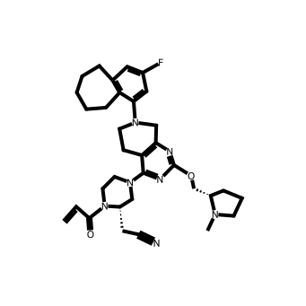 C=CC(=O)N1CCN(c2nc(OC[C@@H]3CCCN3C)nc3c2CCN(c2cc(F)cc4c2CCCCC4)C3)C[C@@H]1CC#N